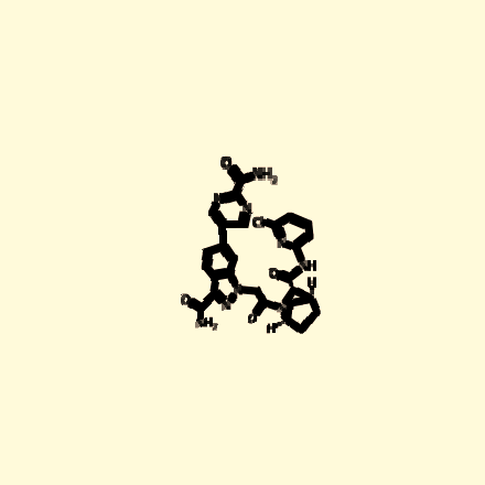 NC(=O)c1ncc(-c2ccc3c(C(N)=O)nn(CC(=O)N4[C@@H]5CC[C@@H](C5)[C@H]4C(=O)Nc4cccc(Cl)n4)c3c2)cn1